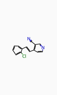 N#Cc1cnccc1C=Cc1ccccc1Cl